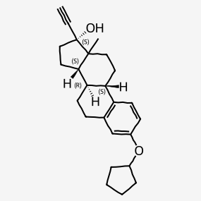 C#C[C@]1(O)CC[C@H]2[C@@H]3CCc4cc(OC5CCCC5)ccc4[C@H]3CCC21C